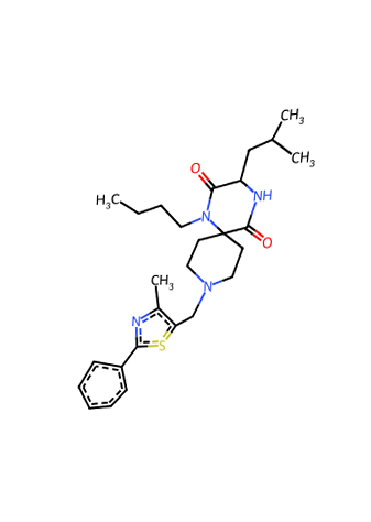 CCCCN1C(=O)C(CC(C)C)NC(=O)C12CCN(Cc1sc(-c3ccccc3)nc1C)CC2